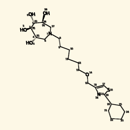 O[C@H]1[C@H](O)[C@@H](O)CN(CCCCCCOCc2csc(C3CCCCC3)n2)C[C@@H]1O